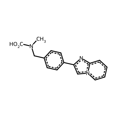 CN(Cc1ccc(-c2cn3ccccc3n2)cc1)C(=O)O